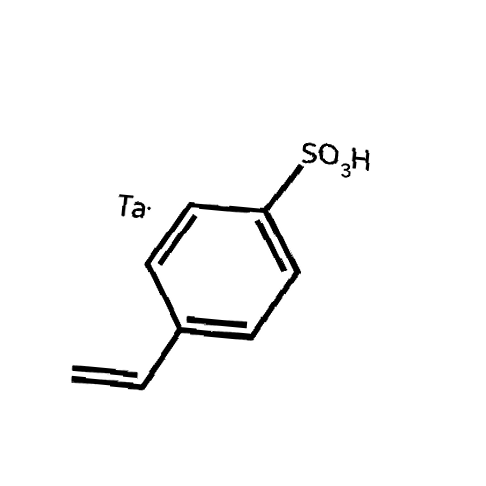 C=Cc1ccc(S(=O)(=O)O)cc1.[Ta]